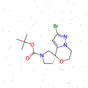 CC(C)(C)OC(=O)N1CC[C@@]2(C1)OCCn1nc(Br)cc12